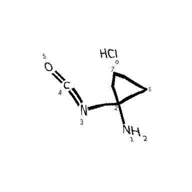 Cl.NC1(N=C=O)CC1